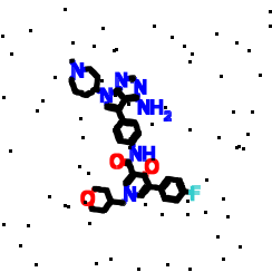 CN1CCCC(n2cc(-c3ccc(NC(=O)c4cn(CC5CCOCC5)cc(-c5ccc(F)cc5)c4=O)cc3)c3c(N)ncnc32)CC1